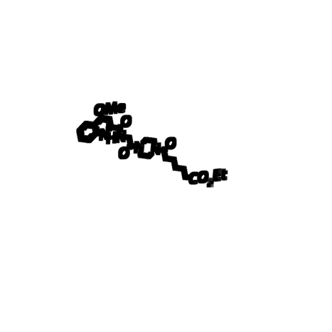 CCOC(=O)CCCCCC(=O)N1CCN(C(=O)CNC(=O)c2cc(OC)c3ccccc3n2)CC1